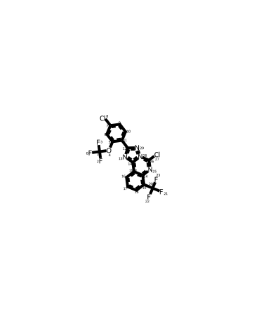 FC(F)(F)Oc1cc(Cl)ccc1-c1nc2c3cccc(C(F)(F)F)c3nc(Cl)n2n1